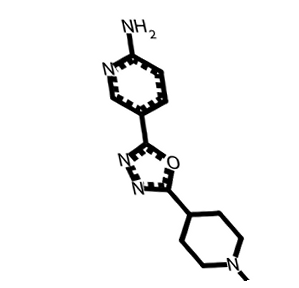 CN1CCC(c2nnc(-c3ccc(N)nc3)o2)CC1